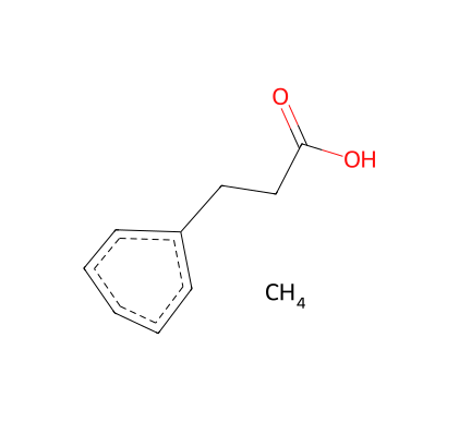 C.O=C(O)CCc1ccccc1